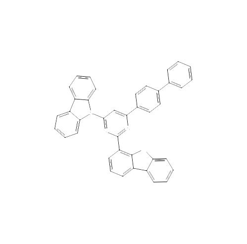 c1ccc(-c2ccc(-c3cc(-n4c5ccccc5c5ccccc54)nc(-c4cccc5c4oc4ccccc45)n3)cc2)cc1